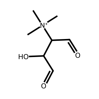 C[N+](C)(C)C(C=O)C(O)C=O